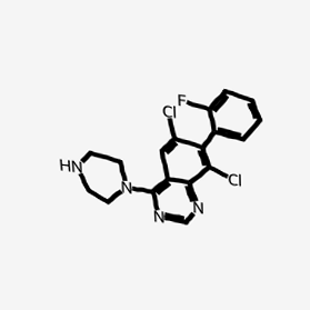 Fc1ccccc1-c1c(Cl)cc2c(N3CCNCC3)ncnc2c1Cl